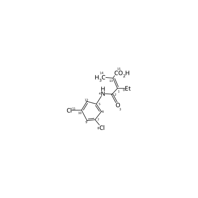 CCC(C(=O)Nc1cc(Cl)cc(Cl)c1)=C(C)C(=O)O